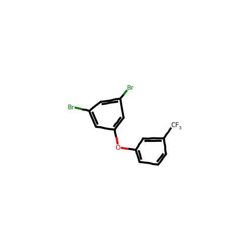 FC(F)(F)c1cccc(Oc2cc(Br)cc(Br)c2)c1